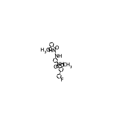 COc1ccccc1C(=O)NCCNc1cccc(N[S+]([O-])c2cc(-c3cccc(F)c3)ccc2OC)c1